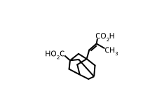 CC(=CC12CC3CC(C1)CC(C(=O)O)(C3)C2)C(=O)O